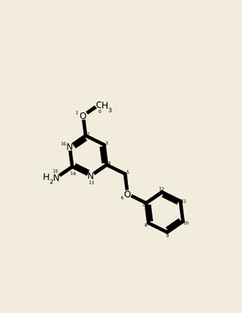 COc1cc(COc2ccccc2)nc(N)n1